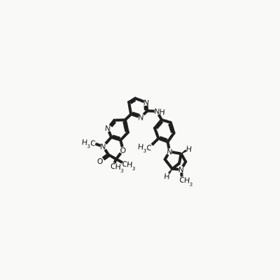 Cc1cc(Nc2nccc(-c3cnc4c(c3)OC(C)(C)C(=O)N4C)n2)ccc1N1C[C@@H]2C[C@H]1CN2C